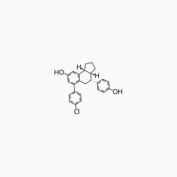 Oc1ccc([C@@H]2Cc3c(-c4ccc(Cl)cc4)cc(O)cc3[C@@H]3CCC[C@H]23)cc1